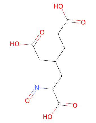 O=NC(CC(CCC(=O)O)CC(=O)O)C(=O)O